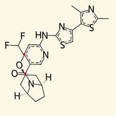 Cc1nc(C)c(-c2csc(Nc3ccc(C(=O)N4[C@@H]5CC[C@H]4C[C@@H](OCC(F)F)C5)cn3)n2)s1